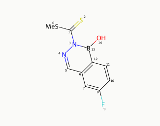 CSC(=S)N1N=Cc2cc(F)ccc2B1O